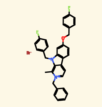 Cc1c2c(cc[n+]1Cc1ccccc1)c1ccc(OCc3ccc(F)cc3)cc1n2Cc1ccc(F)cc1.[Br-]